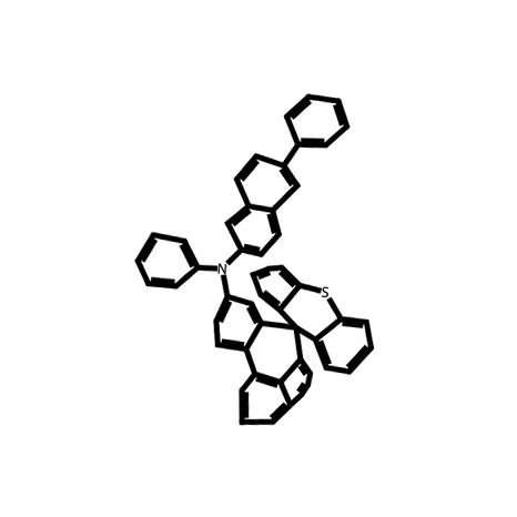 c1ccc(-c2ccc3cc(N(c4ccccc4)c4ccc5c(c4)C4(c6ccccc6Sc6ccccc64)c4cccc6cccc-5c46)ccc3c2)cc1